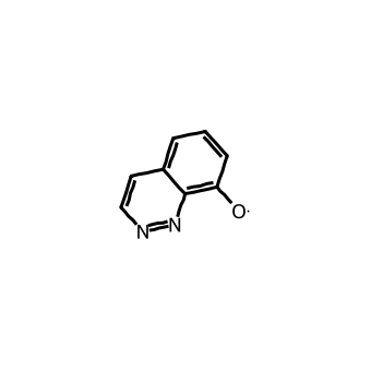 [O]c1cccc2ccnnc12